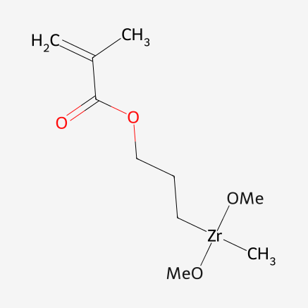 C=C(C)C(=O)OCC[CH2][Zr]([CH3])([O]C)[O]C